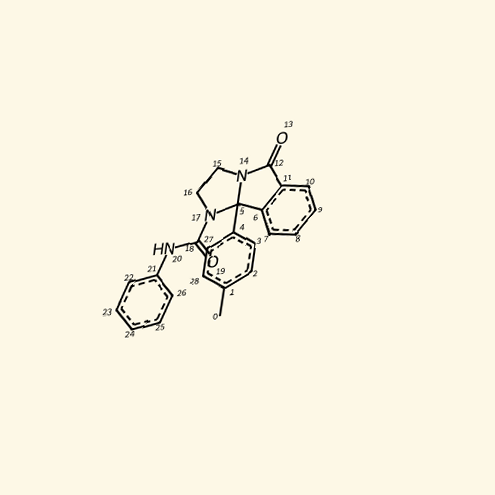 Cc1ccc(C23c4ccccc4C(=O)N2CCN3C(=O)Nc2ccccc2)cc1